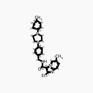 CCc1nc2ccc(C)cn2c1C(=O)NCc1ccc(N2CCN(c3ccc(C)cc3)CC2)cc1